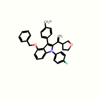 C=C(c1c(-c2ccc(C(=O)O)cc2)c2c(OCc3ccccc3)cccc2n1-c1ccc(F)cc1)C1CCOC1